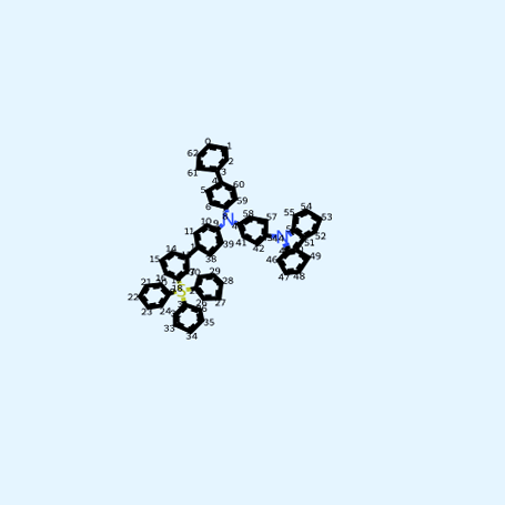 c1ccc(-c2ccc(N(c3ccc(-c4cccc(S(c5ccccc5)(c5ccccc5)c5ccccc5)c4)cc3)c3ccc(-n4c5ccccc5c5ccccc54)cc3)cc2)cc1